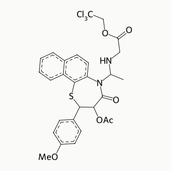 COc1ccc(C2Sc3c(ccc4ccccc34)N(C(C)NCC(=O)OCC(Cl)(Cl)Cl)C(=O)C2OC(C)=O)cc1